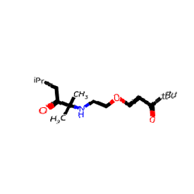 CC(C)CC(=O)C(C)(C)NCCOCCC(=O)C(C)(C)C